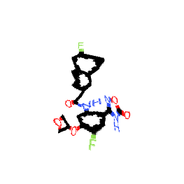 O=C(Nc1cc(OC2COC2)c(F)cc1-c1noc(=O)[nH]1)c1ccc2cc(F)ccc2c1